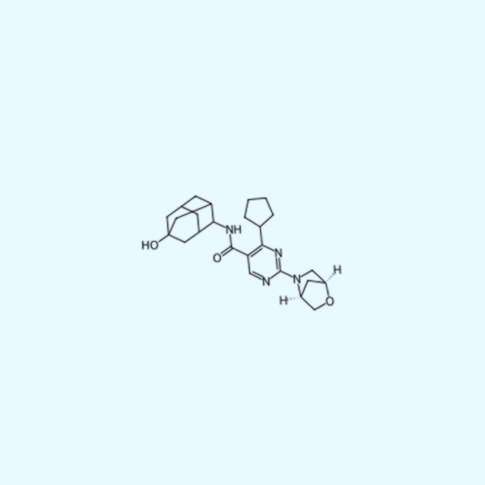 O=C(NC1C2CC3CC1CC(O)(C3)C2)c1cnc(N2C[C@@H]3C[C@H]2CO3)nc1C1CCCC1